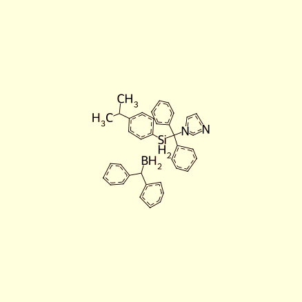 BC(c1ccccc1)c1ccccc1.CC(C)c1ccc([SiH2]C(c2ccccc2)(c2ccccc2)n2ccnc2)cc1